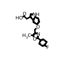 Cc1oc(-c2ccc(F)cc2)nc1COc1ccc2[nH]cc(CC(=O)O)c2c1